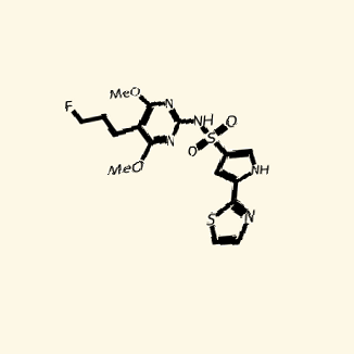 COc1nc(NS(=O)(=O)c2c[nH]c(-c3nccs3)c2)nc(OC)c1CCCF